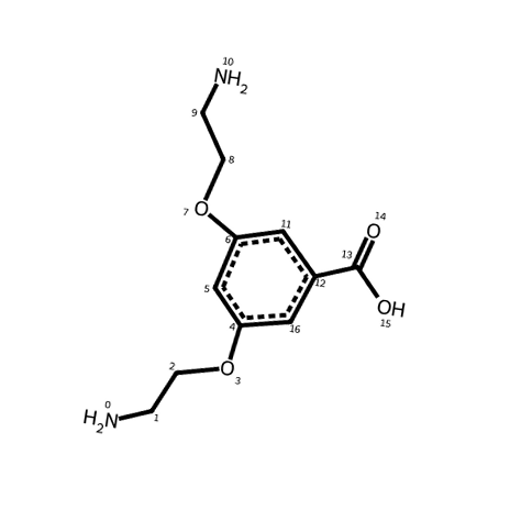 NCCOc1cc(OCCN)cc(C(=O)O)c1